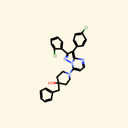 OC1(Cc2ccccc2)CCN(c2ccnc3c(-c4ccc(Cl)cc4)c(-c4ccccc4Cl)nn23)CC1